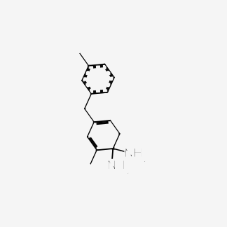 CC1=CC(Cc2cccc(C)c2)=CCC1(N)N